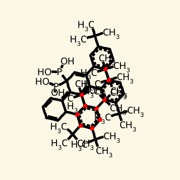 CC(C)(C)c1ccc(C(C)(C)C)c(C2=CC(P(O)O)(P(O)O)C(=C3C=CC=CC3c3cc(C(C)(C)C)ccc3C(C)(C)C)C(c3cc(C(C)(C)C)ccc3C(C)(C)C)=C2c2cc(C(C)(C)C)ccc2C(C)(C)C)c1